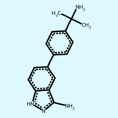 CC(C)(N)c1ccc(-c2ccc3[nH]nc(N)c3c2)cc1